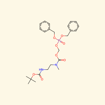 CN(CCNC(=O)OC(C)(C)C)C(=O)OCOP(=O)(OCc1ccccc1)OCc1ccccc1